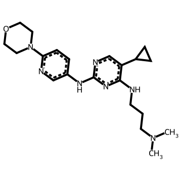 CN(C)CCCNc1nc(Nc2ccc(N3CCOCC3)nc2)ncc1C1CC1